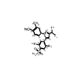 Cc1cc(-n2nc(C(F)F)cc2-c2cc(F)c(S(C)(=O)=O)cc2F)ccc1C#N